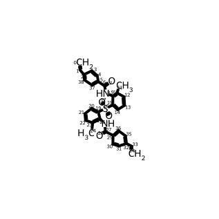 C=Cc1ccc(C(=O)Nc2c(C)cccc2S(=O)(=O)c2cccc(C)c2NC(=O)c2ccc(C=C)cc2)cc1